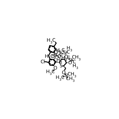 CCc1ccc(Cc2cc([C@@H]3S[C@H](CO[Si](C)(C)C)[C@@H](O[Si](C)(C)C)[C@H](O[Si](C)(C)C)[C@H]3O[Si](C)(C)C)c(OC)cc2Cl)cc1